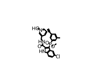 C#Cc1cc(C)cc(P(=O)(OC)c2c(C(=O)NCc3ccc[n+](O)c3)[nH]c3ccc(Cl)cc23)c1